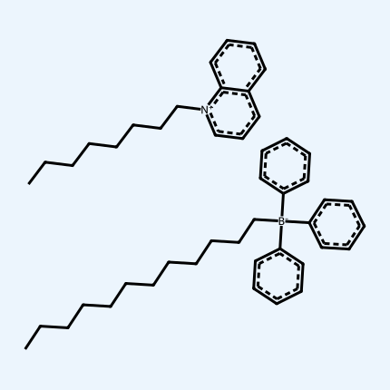 CCCCCCCCCCCC[B-](c1ccccc1)(c1ccccc1)c1ccccc1.CCCCCCCC[n+]1cccc2ccccc21